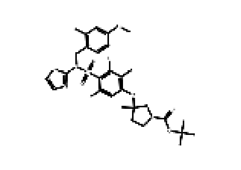 COc1ccc(CN(c2nccs2)S(=O)(=O)c2c(F)cc(OC3(C)CCN(C(=O)OC(C)(C)C)C3)c(C)c2F)c(C)c1